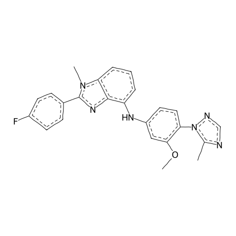 COc1cc(Nc2cccc3c2nc(-c2ccc(F)cc2)n3C)ccc1-n1ncnc1C